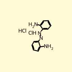 Cl.Cl.Nc1ccccc1/N=N/c1ccccc1N